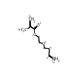 C=C(C)C(=O)OCCOCCCN